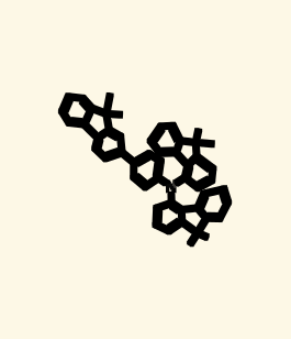 CC1(C)c2ccccc2-c2ccc(-c3ccc(N(c4cccc5c4-c4ccccc4C5(C)C)c4cccc5c4-c4ccccc4C5(C)C)cc3)cc21